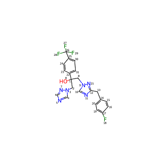 OC(Cn1cncn1)(Cn1cnc(Cc2ccc(F)cc2)n1)c1ccc(C(F)(F)F)cc1